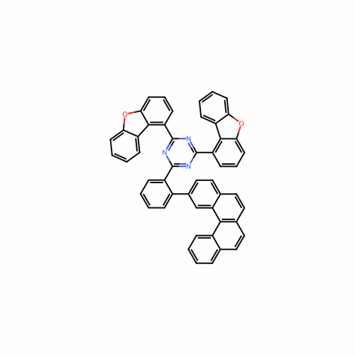 c1ccc(-c2nc(-c3cccc4oc5ccccc5c34)nc(-c3cccc4oc5ccccc5c34)n2)c(-c2ccc3ccc4ccc5ccccc5c4c3c2)c1